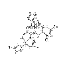 Cc1cc(-n2cc(F)cn2)c2cccc(OCc3c(Cl)cc(F)cc3[C@H](C)NC(=O)c3cocn3)c2n1